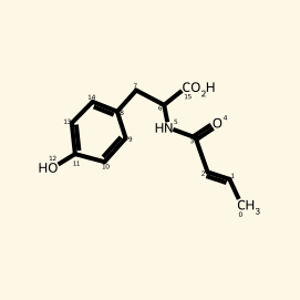 CC=CC(=O)NC(Cc1ccc(O)cc1)C(=O)O